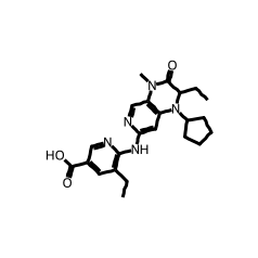 CCc1cc(C(=O)O)cnc1Nc1cc2c(cn1)N(C)C(=O)C(CC)N2C1CCCC1